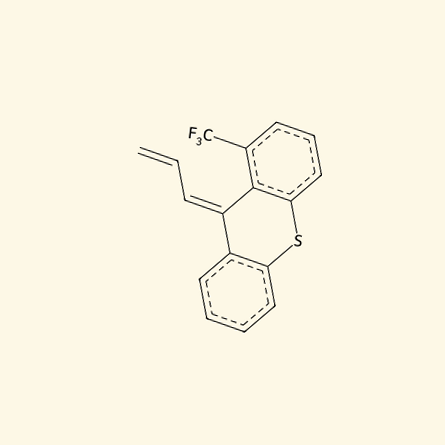 C=CC=C1c2ccccc2Sc2cccc(C(F)(F)F)c21